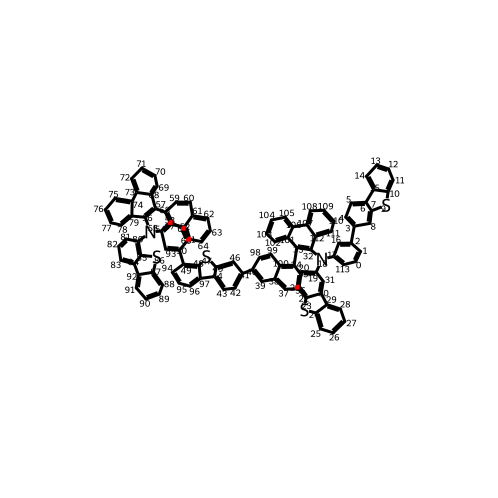 c1cc(-c2ccc3c(c2)sc2ccccc23)cc(N(c2ccc3sc4ccccc4c3c2)c2c(-c3cccc4cc(-c5ccc6c(c5)sc5c(-c7cccc(N(c8c(-c9ccc%10ccccc%10c9)c9ccccc9c9ccccc89)c8cccc9c8sc8ccccc89)c7)cccc56)ccc34)c3ccccc3c3ccccc23)c1